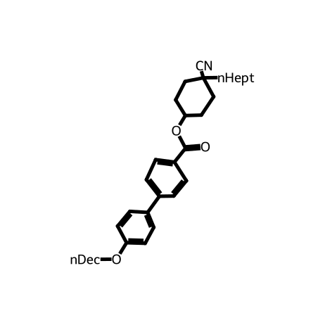 CCCCCCCCCCOc1ccc(-c2ccc(C(=O)OC3CCC(C#N)(CCCCCCC)CC3)cc2)cc1